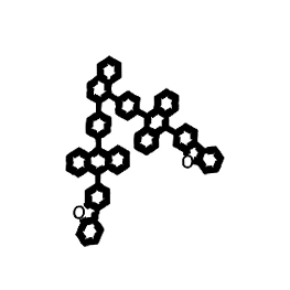 c1ccc2c(-c3ccc(-c4c5ccccc5c(-c5ccc6c(c5)oc5ccccc56)c5ccccc45)cc3)c(-c3ccc(-c4c5ccccc5c(-c5ccc6c(c5)oc5ccccc56)c5ccccc45)cc3)ccc2c1